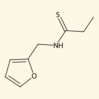 CCC(=S)NCc1ccco1